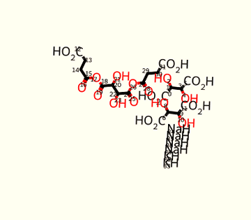 O=C(O)C(O)C(O)C(=O)O.O=C(O)C(O)C(O)C(=O)O.O=C(O)CCC(=O)OC(=O)C(O)C(O)C(=O)OC(=O)CCC(=O)O.[KH].[KH].[NaH].[NaH].[NaH].[NaH]